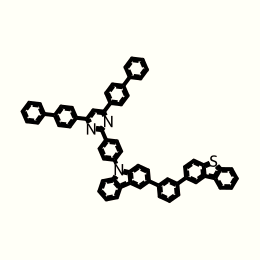 c1ccc(-c2ccc(-c3cc(-c4ccc(-c5ccccc5)cc4)nc(-c4ccc(-n5c6ccccc6c6cc(-c7cccc(-c8ccc9sc%10ccccc%10c9c8)c7)ccc65)cc4)n3)cc2)cc1